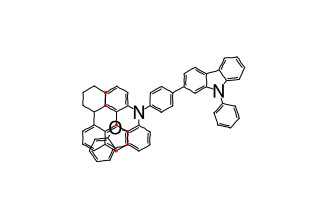 c1ccc(-n2c3ccccc3c3ccc(-c4ccc(N(c5ccccc5-c5cccc6cccc(C7CCCCC7)c56)c5cccc6c5oc5ccccc56)cc4)cc32)cc1